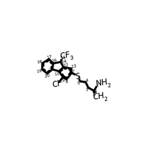 C=C(N)CCCSc1cc(Cl)c2c(c1)C(C(F)(F)F)c1ccccc1-2